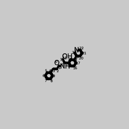 O=C(C=Cc1ccccc1)NC(CO)c1cccc(-c2cccnc2)c1